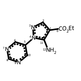 CCOC(=O)c1cnn(-c2cncnc2)c1N